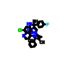 BC(Nc1cc(Cl)c2ncc(C#N)c(N[C@H](CC#N)c3ccccc3)c2c1)(C1=CN(C2CC2)NN1)c1ccc(F)cc1